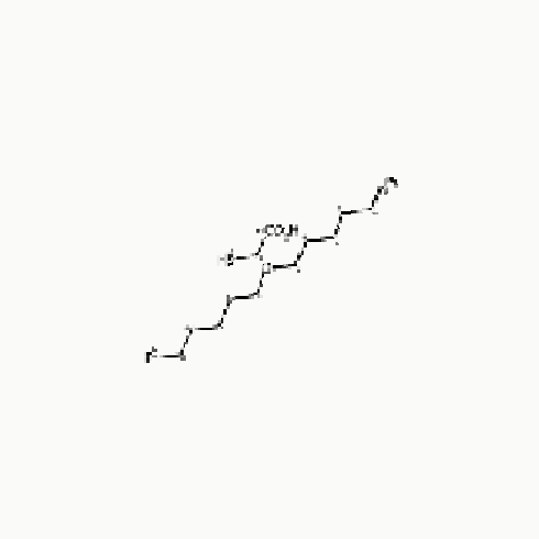 CC(C)CCCCCOCCCCCC(C)C.O=C(O)CS